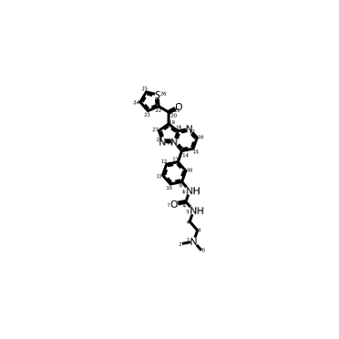 CN(C)CCNC(=O)Nc1cccc(-c2ccnc3c(C(=O)c4cccs4)cnn23)c1